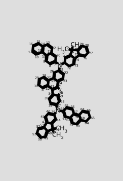 CC1(C)C2=CC(N(c3ccc4c(ccc5ccc#cc54)c3)c3ccc4c(c3)c3ccccc3c3c5ccc(N(c6ccc7c(c6)C(C)(C)c6ccccc6-7)c6ccc7c8c(ccc7c6)CCC=C8)cc5sc43)CC=C2c2ccccc21